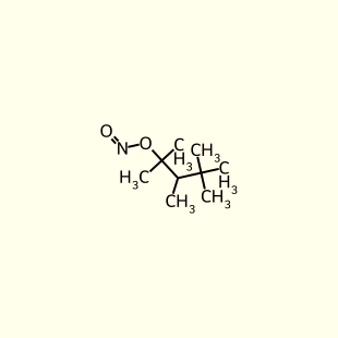 CC(C(C)(C)C)C(C)(C)ON=O